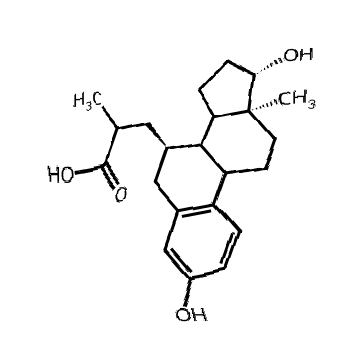 CC(C[C@@H]1Cc2cc(O)ccc2C2CC[C@@]3(C)C(CC[C@@H]3O)C21)C(=O)O